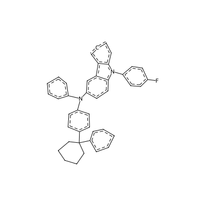 Fc1ccc(-n2c3ccccc3c3cc(N(c4ccccc4)c4ccc(C5(c6ccccc6)CCCCC5)cc4)ccc32)cc1